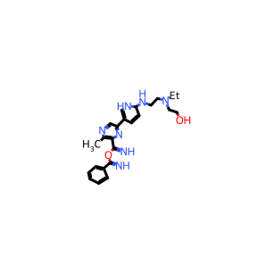 CCN(CCO)CCNC1C=CC(c2cnc(C)c(C(=N)OC(=N)c3ccccc3)n2)=CN1